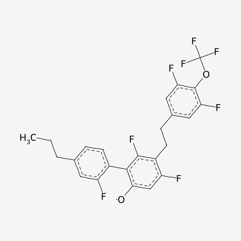 CCCc1ccc(-c2c([O])cc(F)c(CCc3cc(F)c(OC(F)(F)F)c(F)c3)c2F)c(F)c1